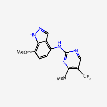 CNc1nc(Nc2ccc(OC)c3[nH]ncc23)ncc1C(F)(F)F